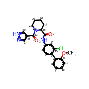 O=C(Nc1ccc(-c2ccccc2OC(F)(F)F)c(Cl)c1)C1CCCCN1C(=O)c1cn[nH]c1